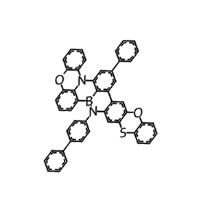 c1ccc(-c2ccc(N3B4c5cccc6c5N(c5ccccc5O6)c5cc(-c6ccccc6)cc(c54)-c4cc5c(cc43)Sc3ccccc3O5)cc2)cc1